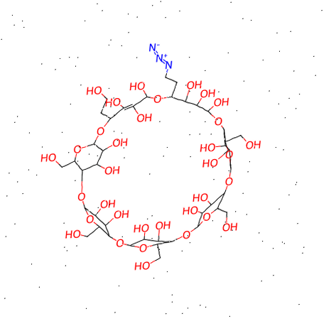 [N-]=[N+]=NCCC1OC(O)/C(O)=C(\O)C(CCO)OC2OC(CO)C(OC3OC(CO)C(OC4OC(CO)C(OC5OC(CO)C(OC6OC(CO)C(OC(O)C(O)C1O)C(O)C6O)C(O)C5O)C(O)C4O)C(O)C3O)C(O)C2O